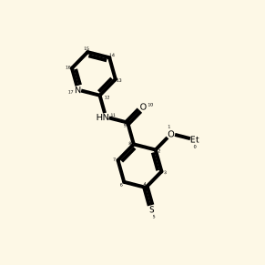 CCOC1=CC(=S)CC=C1C(=O)Nc1ccccn1